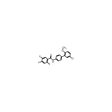 COc1ccc(Cl)cc1-c1ccc(NC(=O)c2cc(F)c(F)cc2F)cc1